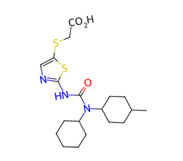 CC1CCC(N(C(=O)Nc2ncc(SCC(=O)O)s2)C2CCCCC2)CC1